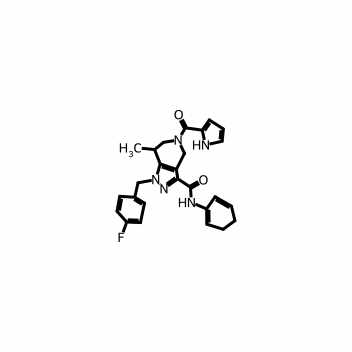 CC1CN(C(=O)c2ccc[nH]2)Cc2c(C(=O)NC3=CCCC=C3)nn(Cc3ccc(F)cc3)c21